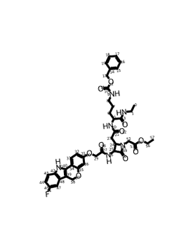 CCNC(=O)C(CCCNC(=O)OCc1ccccc1)NC(=O)CC1C(NC(=O)COc2ccc3c(c2)OCc2c-3[nH]c3ccc(F)cc23)C(=O)N1CC(=O)OCC